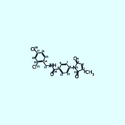 CC1=CC(=O)N(c2ccc(C(=O)NCc3ccc(Cl)cc3Cl)cc2)C1=O